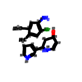 COc1cc(N)c(Br)cc1C.O=C1C=CNC(c2cccnc2)C1